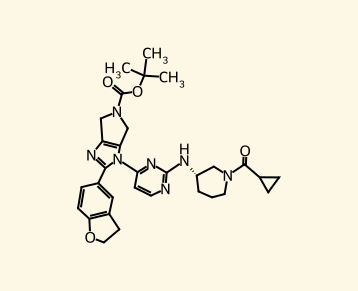 CC(C)(C)OC(=O)N1Cc2nc(-c3ccc4c(c3)CCO4)n(-c3ccnc(N[C@H]4CCCN(C(=O)C5CC5)C4)n3)c2C1